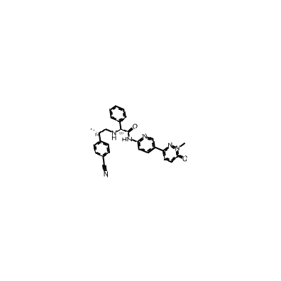 C[C@H](CN[C@H](C(=O)Nc1ccc(-c2ccc(=O)n(C)n2)cn1)c1ccccc1)c1ccc(C#N)cc1